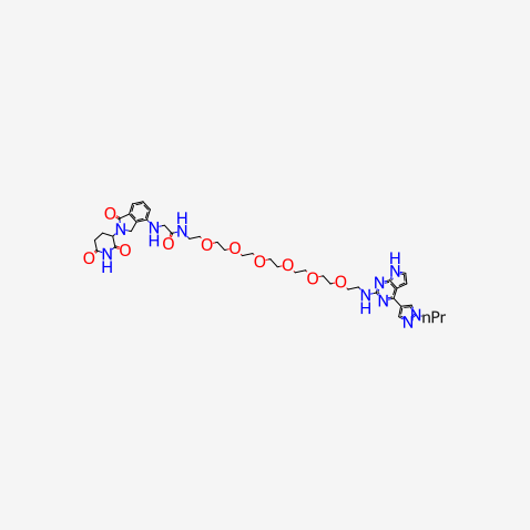 CCCn1cc(-c2nc(NCCOCCOCCOCCOCCOCCOCCNC(=O)CNc3cccc4c3CN(C3CCC(=O)NC3=O)C4=O)nc3[nH]ccc23)cn1